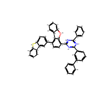 c1ccc(-c2cccc(-c3nc(-c4ccccc4)nc(-c4ccc(-c5ccc6sc7ccccc7c6c5)c5c4oc4ccccc45)n3)c2)cc1